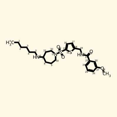 CCCCCCNC1CCCN(S(=O)(=O)c2ccc(CNC(=O)c3cccc(OC)c3)s2)CC1